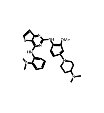 COc1cc(N2CCC(N(C)C)CC2)ccc1Nc1nc(Nc2ccccc2P(C)C)c2sccc2n1